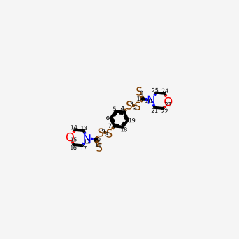 S=C(SSc1ccc(SSC(=S)N2CCOCC2)cc1)N1CCOCC1